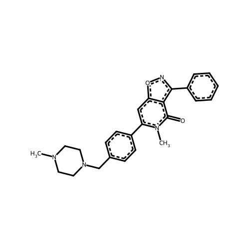 CN1CCN(Cc2ccc(-c3cc4onc(-c5ccccc5)c4c(=O)n3C)cc2)CC1